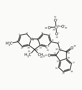 CC1=CCN2C3=CC=C(CN4C(=O)c5ccccc5C4=O)[C+]=C3C(C)(C)C2=C1.[O-][Cl+3]([O-])([O-])[O-]